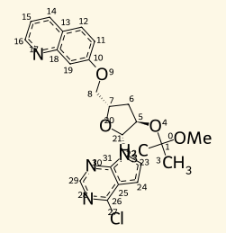 COC(C)(C)O[C@@H]1C[C@@H](COc2ccc3cccnc3c2)O[C@H]1n1ccc2c(Cl)ncnc21